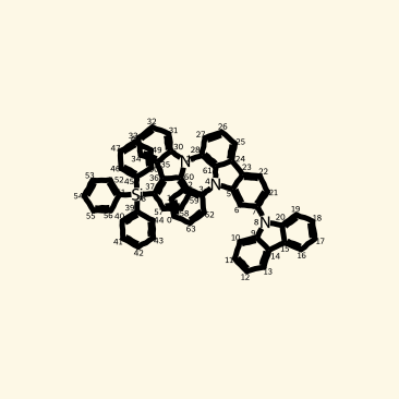 c1ccc(-n2c3cc(-n4c5ccccc5c5ccccc54)ccc3c3cccc(-n4c5ccccc5c5c([Si](c6ccccc6)(c6ccccc6)c6ccccc6)cccc54)c32)cc1